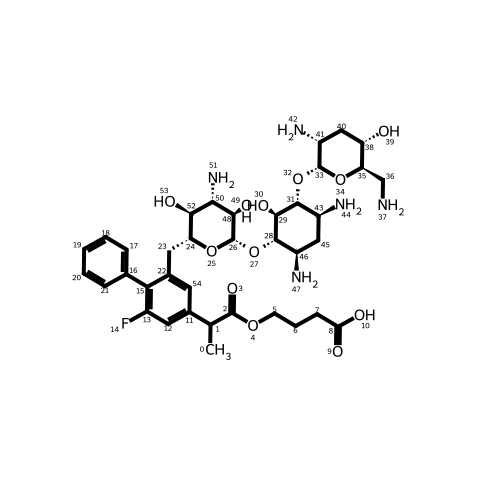 CC(C(=O)OCCCC(=O)O)c1cc(F)c(-c2ccccc2)c(C[C@H]2O[C@@H](O[C@@H]3[C@@H](O)[C@H](O[C@H]4O[C@H](CN)[C@@H](O)C[C@H]4N)[C@@H](N)C[C@H]3N)[C@H](O)[C@@H](N)[C@@H]2O)c1